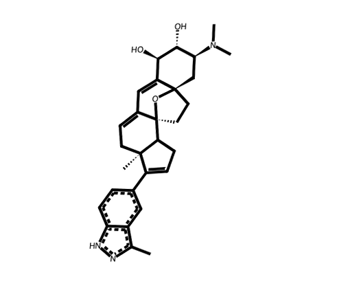 Cc1n[nH]c2ccc(C3=CCC4[C@]3(C)CC=C3C=C5[C@@H](O)[C@H](O)[C@@H](N(C)C)C[C@]56CC[C@@]34O6)cc12